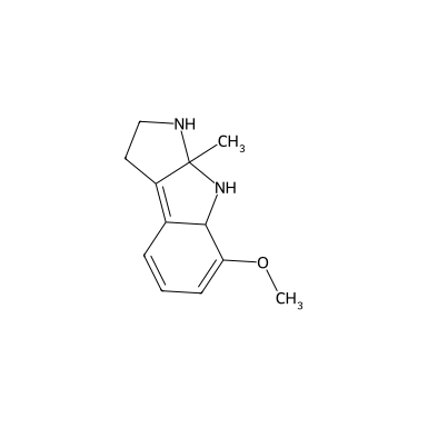 COC1=CC=CC2=C3CCNC3(C)NC12